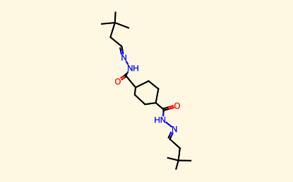 CC(C)(C)C/C=N/NC(=O)C1CCC(C(=O)N/N=C/CC(C)(C)C)CC1